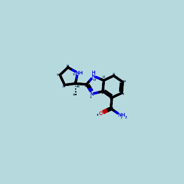 C[C@]1(C2=NC3=C(C(N)=O)C=CCC3N2)CCCN1